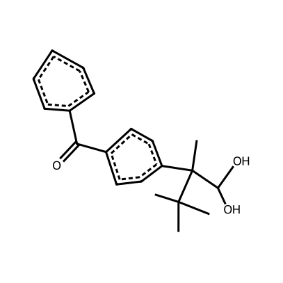 CC(C)(C)C(C)(c1ccc(C(=O)c2ccccc2)cc1)C(O)O